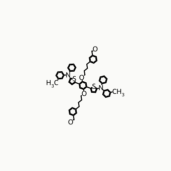 Cc1cccc(N(c2ccccc2)c2ccc(-c3cc(OCCCCc4cccc(C=O)c4)c(-c4ccc(N(c5ccccc5)c5cccc(C)c5)s4)cc3OCCCCc3cccc(C=O)c3)s2)c1